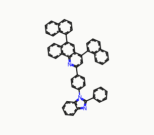 c1ccc(-c2nc3ccccc3n2-c2ccc(-c3cc(-c4cccc5ccccc45)c4cc(-c5cccc6ccccc56)c5ccccc5c4n3)cc2)cc1